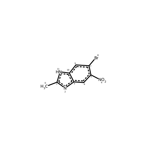 Cc1nc2cc([N+](=O)[O-])c(Br)cc2[nH]1